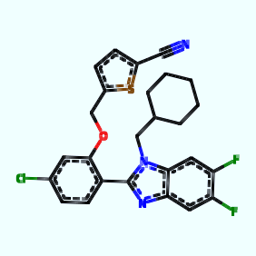 N#Cc1ccc(COc2cc(Cl)ccc2-c2nc3cc(F)c(F)cc3n2CC2CCCCC2)s1